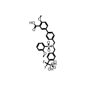 COc1ccc(-c2ccc(CN(Cc3ccc(C(F)(F)P(=O)(O)O)c(Cl)c3)S(=O)(=O)c3ccccc3OC)cc2)cc1C(=O)O